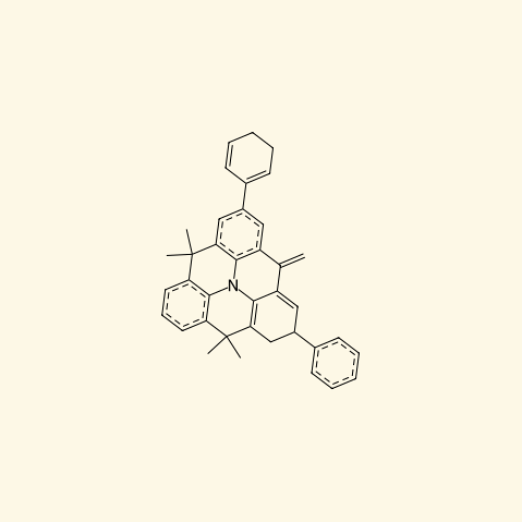 C=C1C2=CC(c3ccccc3)CC3=C2N2c4c1cc(C1=CCCC=C1)cc4C(C)(C)c1cccc(c12)C3(C)C